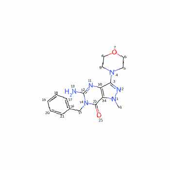 Cn1nc(N2CCOCC2)c2nc(N)n(Cc3ccccc3)c(=O)c21